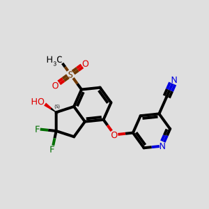 CS(=O)(=O)c1ccc(Oc2cncc(C#N)c2)c2c1[C@H](O)C(F)(F)C2